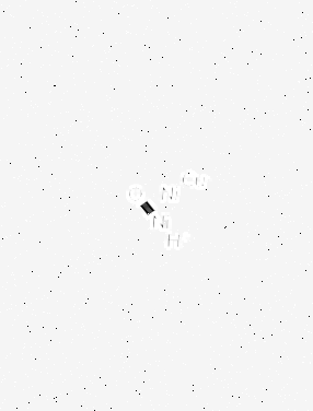 [Cu].[H+].[Ni].[O]=[Ni]